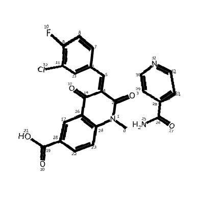 CN1C(=O)/C(=C/c2ccc(F)c(Cl)c2)C(=O)c2cc(C(=O)O)ccc21.NC(=O)c1ccncc1